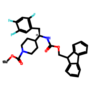 CC(C)(C)OC(=O)N1CCC([C@@H](Cc2cc(F)c(F)cc2F)NC(=O)OCC2c3ccccc3-c3ccccc32)CC1